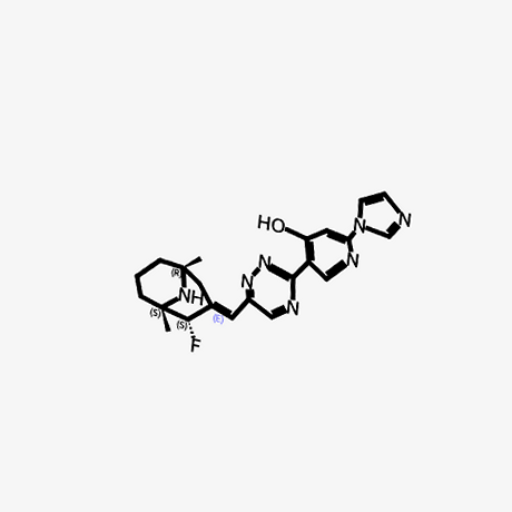 C[C@]12CCC[C@](C)(N1)[C@@H](F)/C(=C/c1cnc(-c3cnc(-n4ccnc4)cc3O)nn1)C2